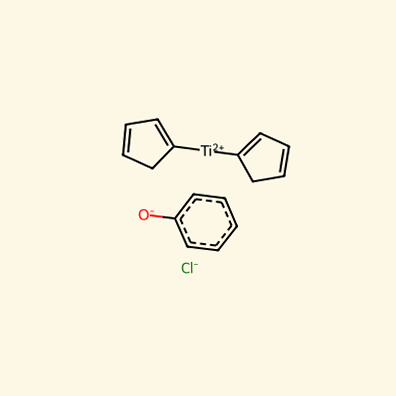 C1=CC[C]([Ti+2][C]2=CC=CC2)=C1.[Cl-].[O-]c1ccccc1